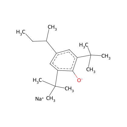 CCC(C)c1cc(C(C)(C)C)c([O-])c(C(C)(C)C)c1.[Na+]